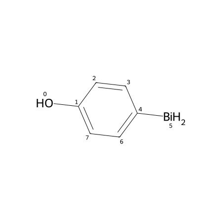 Oc1cc[c]([BiH2])cc1